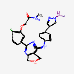 CC(C)(C)NC(=O)COc1cc(-c2nc3c(c(Nc4ccc(-c5cnn(PI)c5)cc4)n2)COC3)ccc1F